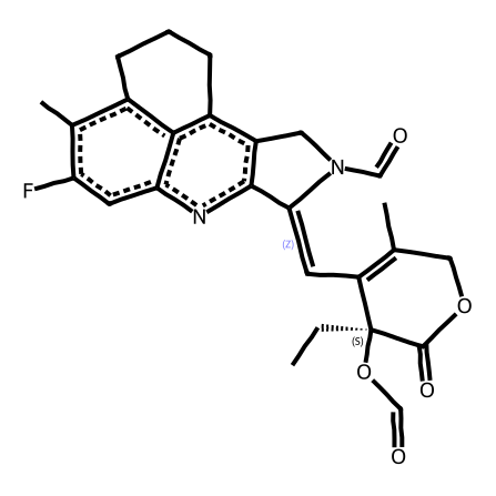 CC[C@@]1(OC=O)C(=O)OCC(C)=C1/C=C1/c2nc3cc(F)c(C)c4c3c(c2CN1C=O)CCC4